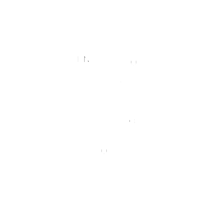 CCOC(C)OC(C)C1(C)CNCCO1